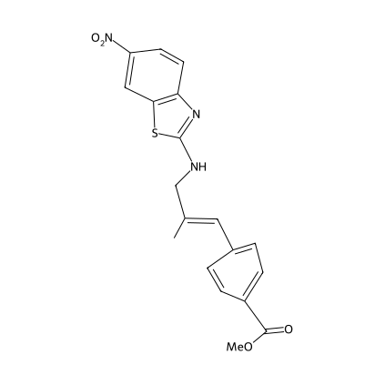 COC(=O)c1ccc(C=C(C)CNc2nc3ccc([N+](=O)[O-])cc3s2)cc1